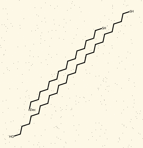 CCCCCCCCCCCCCCCCCCCCCCCCCS.OCCCCCCCCCCCCCCCCCCCCCCCCS